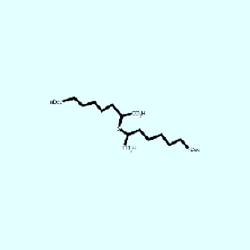 CCCCCCCCCCCCCCCC(SC(CCCCCCCCCCCCCCC)C(=O)O)C(=O)O